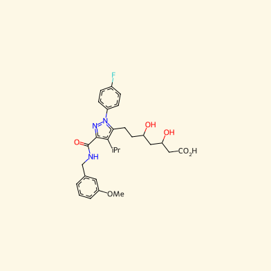 COc1cccc(CNC(=O)c2nn(-c3ccc(F)cc3)c(CCC(O)CC(O)CC(=O)O)c2C(C)C)c1